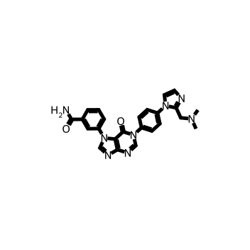 CN(C)Cc1nccn1-c1ccc(-n2cnc3ncn(-c4cccc(C(N)=O)c4)c3c2=O)cc1